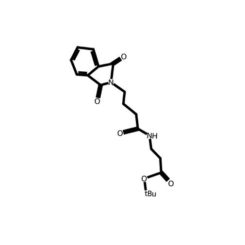 CC(C)(C)OC(=O)CCNC(=O)CCCN1C(=O)c2ccccc2C1=O